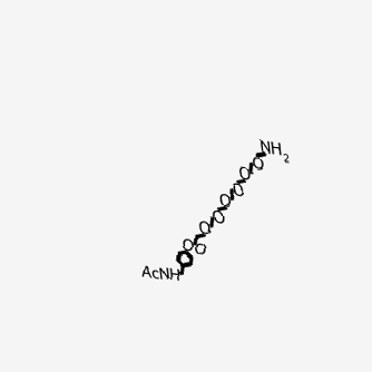 CC(=O)NCc1ccc(OC(=O)CCOCCOCCOCCOCCOCCOCCN)cc1